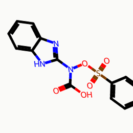 O=C(O)N(OS(=O)(=O)c1ccccc1)c1nc2ccccc2[nH]1